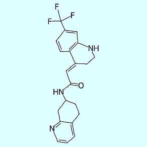 O=C(/C=C1\CCNc2cc(C(F)(F)F)ccc21)NC1CCc2cccnc2C1